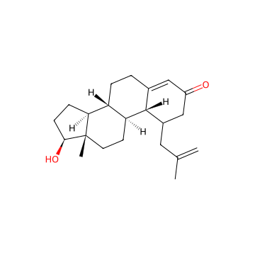 C=C(C)CC1CC(=O)C=C2CC[C@@H]3[C@H](CC[C@]4(C)[C@@H](O)CC[C@@H]34)[C@H]21